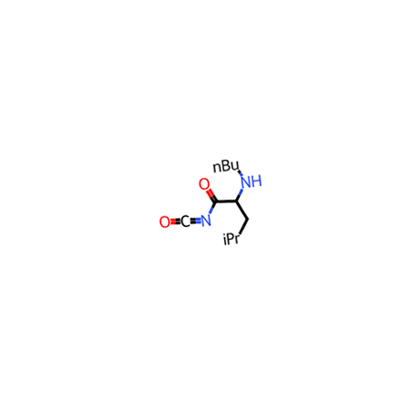 CCCCNC(CC(C)C)C(=O)N=C=O